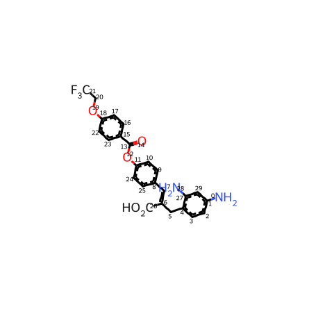 Nc1ccc(CC(=Cc2ccc(OC(=O)c3ccc(OCC(F)(F)F)cc3)cc2)C(=O)O)c(N)c1